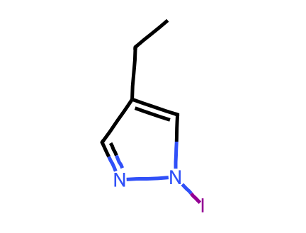 CCc1cnn(I)c1